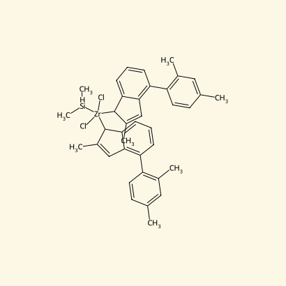 CC1=Cc2c(-c3ccc(C)cc3C)cccc2[CH]1[Zr]([Cl])([Cl])([CH]1C(C)=Cc2c(-c3ccc(C)cc3C)cccc21)[SiH](C)C